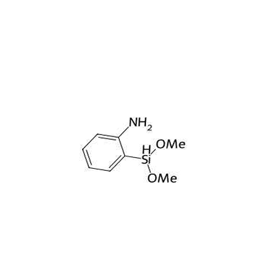 CO[SiH](OC)c1ccccc1N